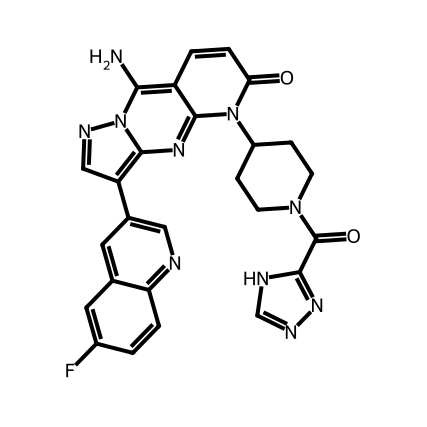 Nc1c2ccc(=O)n(C3CCN(C(=O)c4nnc[nH]4)CC3)c2nc2c(-c3cnc4ccc(F)cc4c3)cnn12